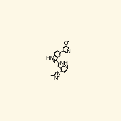 COc1cncc(-c2ccc3[nH]nc(-c4cc5c(-n6cnc(C)c6)ccnc5[nH]4)c3c2)c1